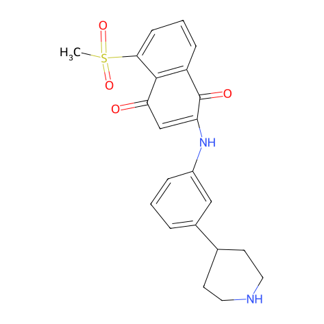 CS(=O)(=O)c1cccc2c1C(=O)C=C(Nc1cccc(C3CCNCC3)c1)C2=O